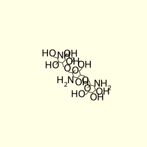 NC(CO)C(O)C(COCC1OC(CO)C(COCC2OC(CO)C(O)C(O)C2N)C(O)C1N)C(O)CO